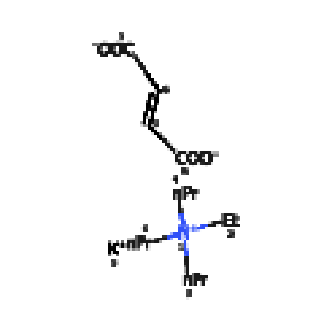 CCC[N+](CC)(CCC)CCC.O=C([O-])C=CC(=O)[O-].[K+]